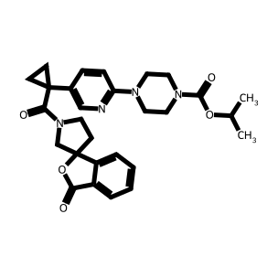 CC(C)OC(=O)N1CCN(c2ccc(C3(C(=O)N4CCC5(C4)OC(=O)c4ccccc45)CC3)cn2)CC1